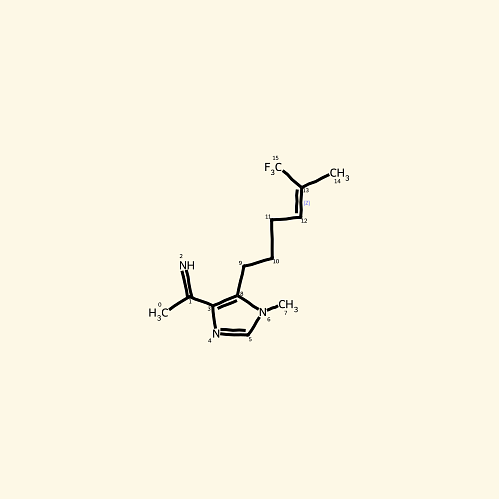 CC(=N)c1ncn(C)c1CCC/C=C(/C)C(F)(F)F